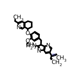 C=C/C(=C\C)c1cnc2c(c1)N=C(N)C2Cc1ccc(OC2CCCc3cc(CC)ncc32)c(OC)c1